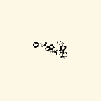 COc1ccc(C2(C(=O)N(C)CC(=O)Nc3cccc4c3cnn4C(=O)OCc3ccccc3)CCCCC2)cc1